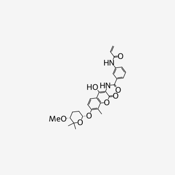 C=CC(=O)Nc1cccc(C(=O)Nc2c(O)c3ccc(O[C@H]4CC[C@@H](OC)C(C)(C)O4)c(C)c3oc2=O)c1